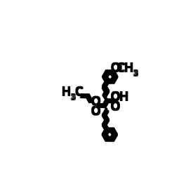 CCCCOC(=O)[C@@H](CCCCc1ccccc1)[C@@H](C/C=C/c1ccc(OC)cc1)C(=O)O